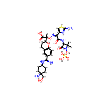 CC(ON=C(C(=O)NC1C(=O)N(OS(=O)(=O)O)C1(C)C)c1csc(N)n1)(C(=O)O)C1CCc2cc(C(=N)NC3CCC(N)(CO)CC3)ccc2O1